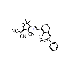 CC(=O)N(C=C1CCCC(/C=C/C2=C(C#N)C(=C(C#N)C#N)OC2(C)C)=C1Cl)c1ccccc1